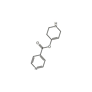 O=C(OC1=CCNCC1)c1ccncc1